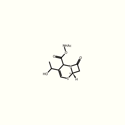 CC(=O)NOC(=O)C1C(C(C)O)=CS[C@H]2CC(=O)N12